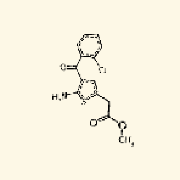 COC(=O)Cc1cc(C(=O)c2ccccc2Cl)c(N)s1